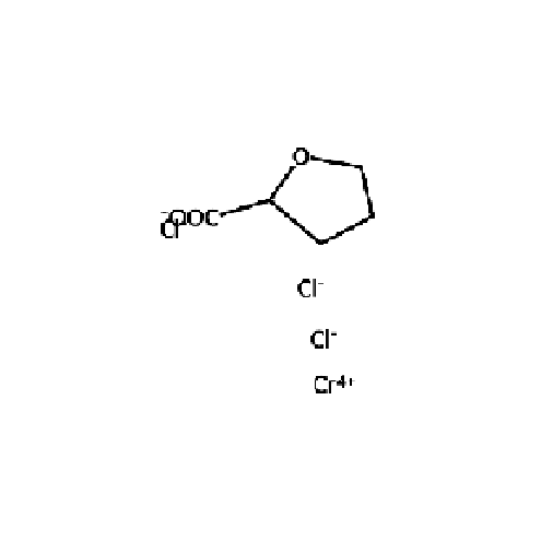 O=C([O-])C1CCCO1.[Cl-].[Cl-].[Cl-].[Cr+4]